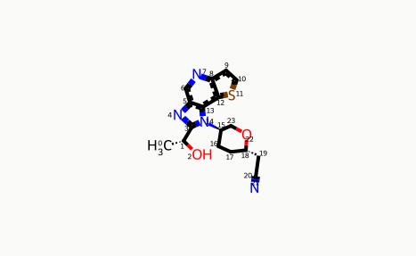 C[C@@H](O)c1nc2cnc3ccsc3c2n1[C@@H]1CC[C@@H](CC#N)OC1